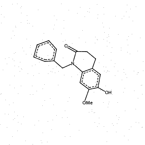 COc1cc2c(cc1O)CCC(=O)N2Cc1ccccc1